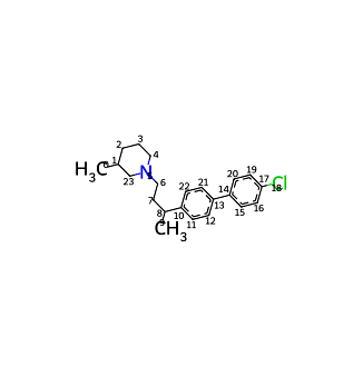 CC1CCCN(CCC(C)c2ccc(-c3ccc(Cl)cc3)cc2)C1